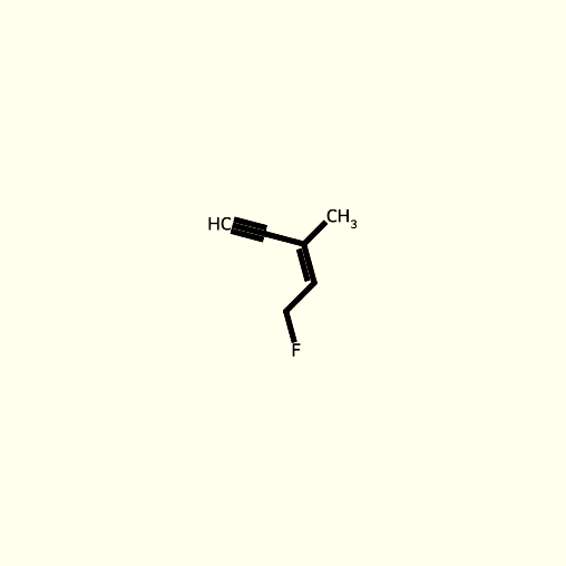 C#C/C(C)=C\CF